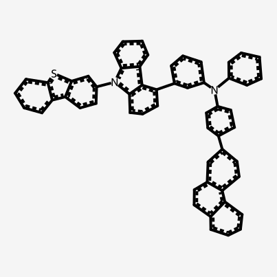 c1ccc(N(c2ccc(-c3ccc4c(ccc5ccccc54)c3)cc2)c2cccc(-c3cccc4c3c3ccccc3n4-c3ccc4c(c3)sc3ccccc34)c2)cc1